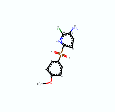 COc1ccc(S(=O)(=O)c2ccc(N)c(Cl)n2)cc1